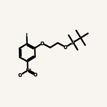 CC(C)(C)[Si](C)(C)OCCOc1cc([N+](=O)[O-])ccc1I